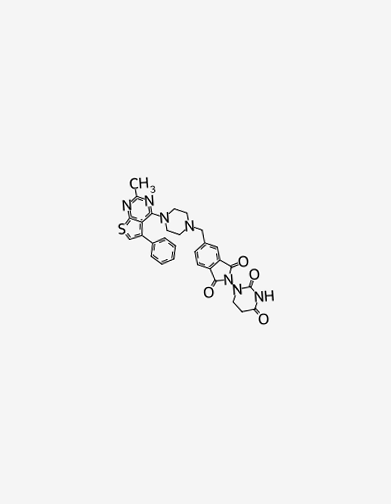 Cc1nc(N2CCN(Cc3ccc4c(c3)C(=O)N(N3CCC(=O)NC3=O)C4=O)CC2)c2c(-c3ccccc3)csc2n1